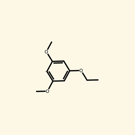 CCOc1cc(OC)[c]c(OC)c1